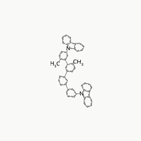 Cc1ccc(-c2cccc(-c3cccc(-n4c5ccccc5c5ccccc54)c3)c2)cc1-c1cc(-n2c3ccccc3c3ccccc32)ccc1C